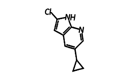 Clc1cc2cc(C3CC3)cnc2[nH]1